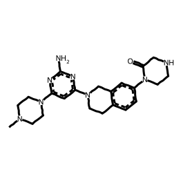 CN1CCN(c2cc(N3CCc4ccc(N5CCNCC5=O)cc4C3)nc(N)n2)CC1